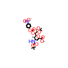 COC(=O)C1=C[C@H](NC(=O)OC(C)(C)C)[C@@H](C)[C@H]([C@H](OC(=O)Oc2ccc([N+](=O)[O-])cc2)[C@H]2COC(C)(C)O2)O1